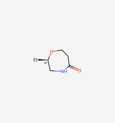 CC[C@@H]1CNC(=O)CCO1